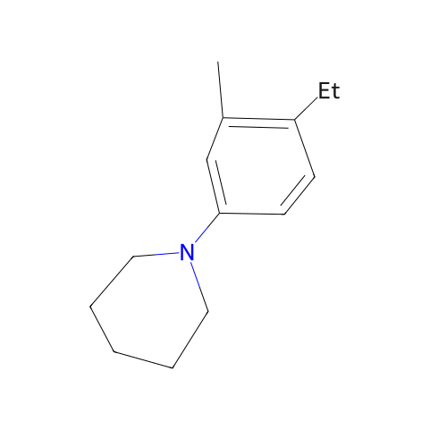 CCc1ccc(N2CCCCC2)cc1C